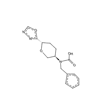 O=C(O)N(Cc1ccccc1)[C@@H]1CC[C@@H](c2nnco2)OC1